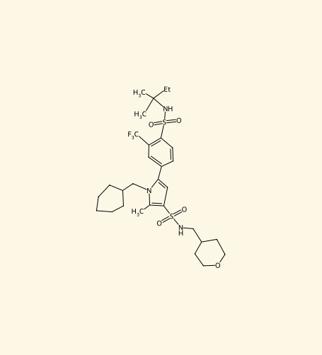 CCC(C)(C)NS(=O)(=O)c1ccc(-c2cc(S(=O)(=O)NCC3CCOCC3)c(C)n2CC2CCCCC2)cc1C(F)(F)F